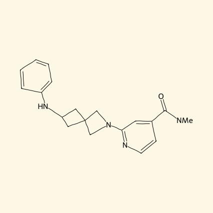 CNC(=O)c1ccnc(N2CC3(CC(Nc4ccccc4)C3)C2)c1